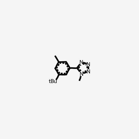 Cc1cc(-c2nnnn2C)cc(C(C)(C)C)c1